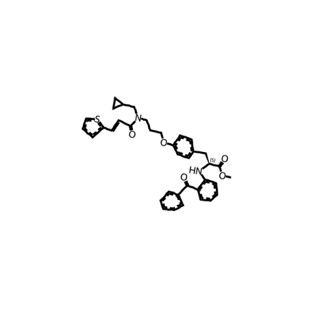 COC(=O)[C@H](Cc1ccc(OCCCN(CC2CC2)C(=O)C=Cc2cccs2)cc1)Nc1ccccc1C(=O)c1ccccc1